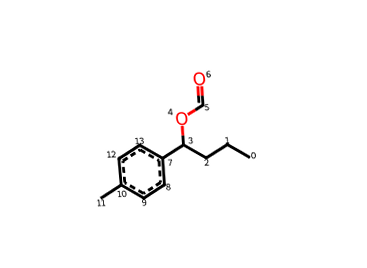 CCCC(OC=O)c1ccc(C)cc1